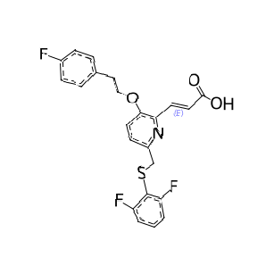 O=C(O)/C=C/c1nc(CSc2c(F)cccc2F)ccc1OCCc1ccc(F)cc1